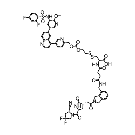 COc1ncc(-c2ccc3nccc(-c4ccc(COC(=O)OCCSSCC(NC(=O)CCC(=O)NCc5cccc6c5CN(C(=O)C[C@@H]5CC(C(=O)N7CC(F)(F)C[C@H]7C#N)NC5=O)C6)C(=O)O)nc4)c3c2)cc1NS(=O)(=O)c1ccc(F)cc1F